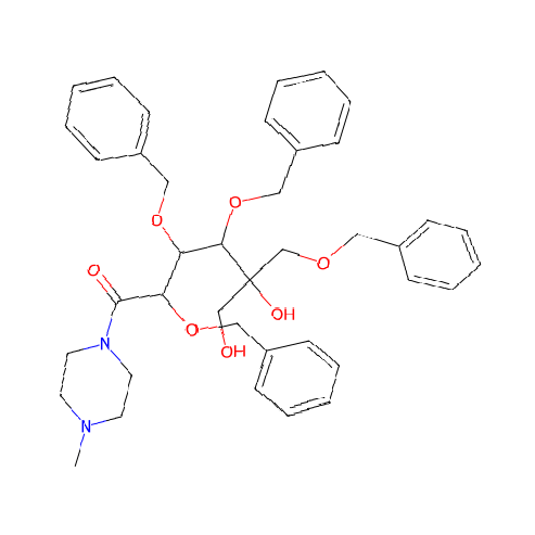 CN1CCN(C(=O)C(OCc2ccccc2)C(OCc2ccccc2)C(OCc2ccccc2)C(O)(CO)COCc2ccccc2)CC1